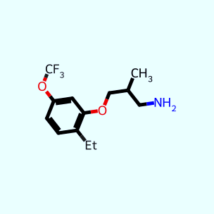 CCc1ccc(OC(F)(F)F)cc1OCC(C)CN